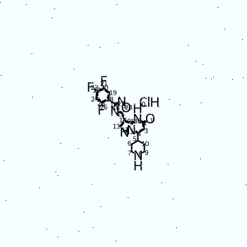 Cl.O=c1cc(C2CCNCC2)n2ncc(-c3nc(-c4cc(F)c(F)cc4F)no3)c2[nH]1